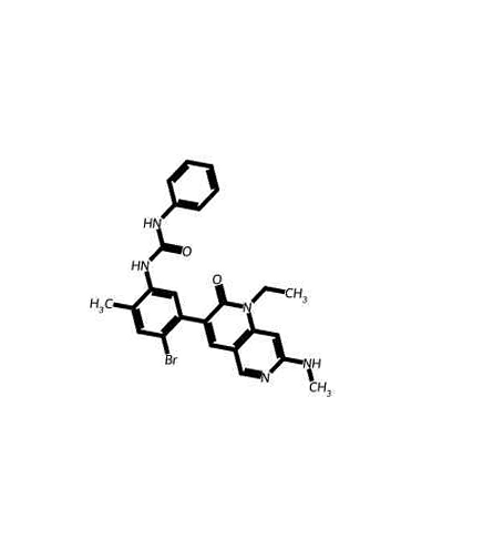 CCn1c(=O)c(-c2cc(NC(=O)Nc3ccccc3)c(C)cc2Br)cc2cnc(NC)cc21